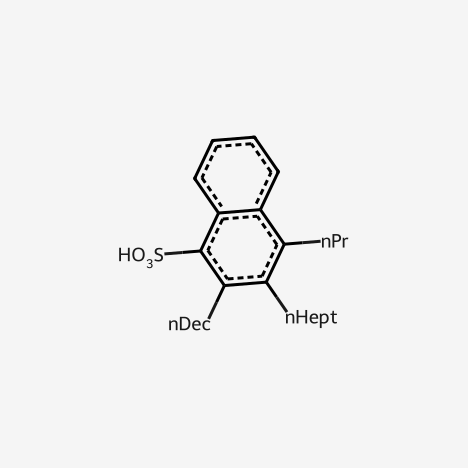 CCCCCCCCCCc1c(CCCCCCC)c(CCC)c2ccccc2c1S(=O)(=O)O